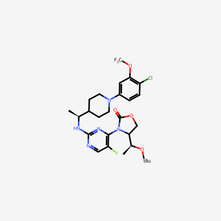 C[C@H](Nc1ncc(F)c(N2C(=O)OCC2[C@H](C)OC(C)(C)C)n1)C1CCN(c2ccc(Cl)c(OC(F)(F)F)c2)CC1